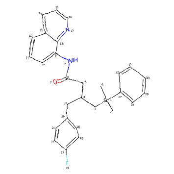 C[Si](C)(CC(CC(=O)Nc1cccc2cccnc12)Cc1ccc(F)cc1)c1ccccc1